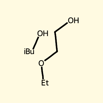 CCC(C)O.CCOCCO